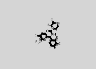 C[C@@H]1C(=O)NCCN1C(=O)N[C@@H](c1ccc(Cl)c(C(F)(F)F)n1)c1ccc(F)c(Cl)c1F